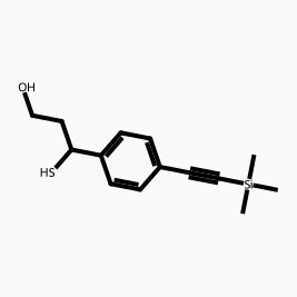 C[Si](C)(C)C#Cc1ccc(C(S)CCO)cc1